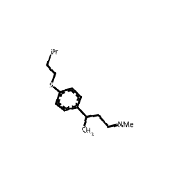 CNCCC(C)c1ccc(SCCC(C)C)cc1